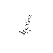 O=C(O)NC(CC(=O)N1CCSC1C(=O)N1CCOCC1)Cc1cc(F)c(F)cc1F